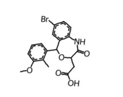 COc1cccc(C2OC(CC(=O)O)C(=O)Nc3ccc(Br)cc32)c1C